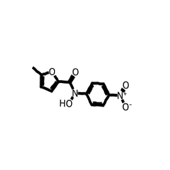 Cc1ccc(C(=O)N(O)c2ccc([N+](=O)[O-])cc2)o1